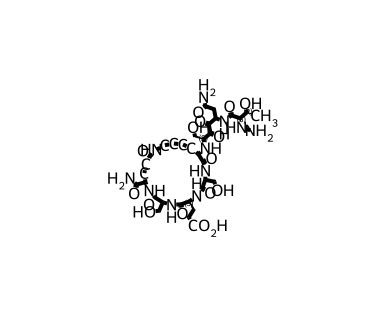 C[C@@H](O)[C@H](NN)C(=O)NC(CC(N)=O)C(=O)C(=O)[C@H](CO)NC1CCCCNC(=O)CCC(C(N)=O)NC(=O)C(CO)NC(=O)[C@H](CCC(=O)O)NC(=O)C(CO)NC1=O